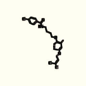 Cc1cc(OCC=C(Cl)Cl)ccc1OCCCCNC(=O)c1ccc(Cl)cc1